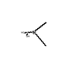 CCCCCCCCCCCCCCOP(=O)(OCCCCCCCCCCCCCC)OCCCCN(CCO)CCO